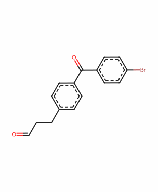 O=CCCc1ccc(C(=O)c2ccc(Br)cc2)cc1